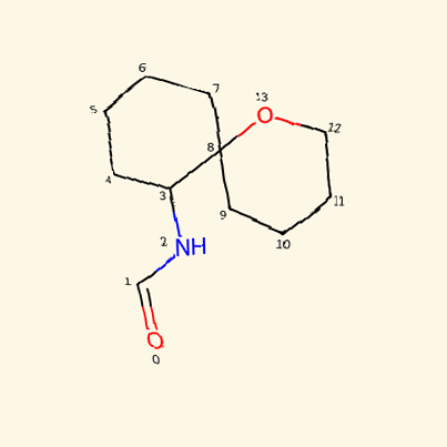 O=CNC1CCCCC12CCCCO2